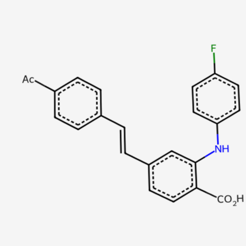 CC(=O)c1ccc(C=Cc2ccc(C(=O)O)c(Nc3ccc(F)cc3)c2)cc1